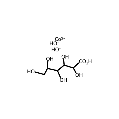 O=C(O)C(O)C(O)C(O)C(O)CO.[Co+2].[OH-].[OH-]